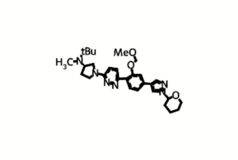 COCOc1cc(-c2cnn(C3CCCCO3)c2)ccc1-c1ccc(N2CC[C@@H](N(C)C(C)(C)C)C2)nn1